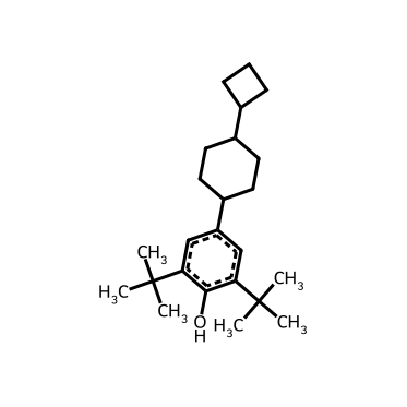 CC(C)(C)c1cc(C2CCC(C3CCC3)CC2)cc(C(C)(C)C)c1O